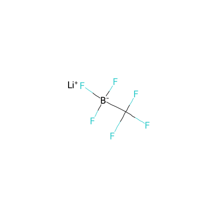 F[B-](F)(F)C(F)(F)F.[Li+]